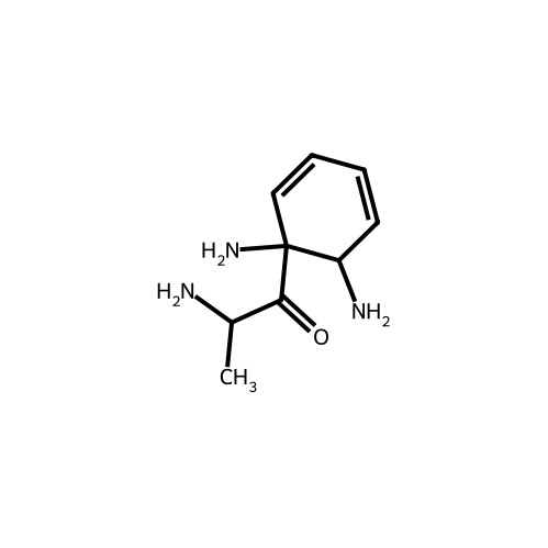 CC(N)C(=O)C1(N)C=CC=CC1N